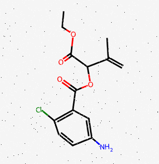 C=C(C)C(OC(=O)c1cc(N)ccc1Cl)C(=O)OCC